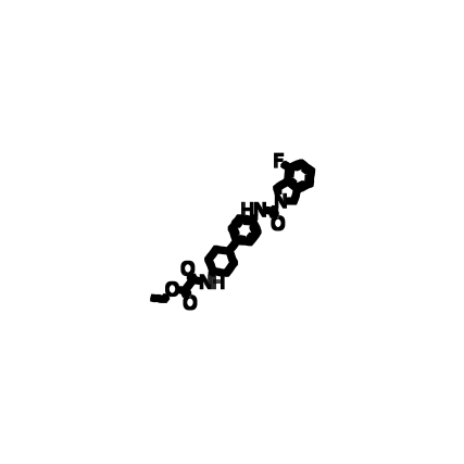 CCOC(=O)C(=O)NC1CCC(c2ccc(NC(=O)N3Cc4cccc(F)c4C3)cc2)CC1